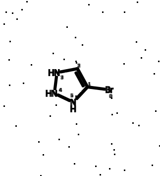 BrC1=CNNN1